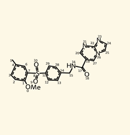 COc1ccc(C)cc1S(=O)(=O)c1ccc(CNC(=O)c2cnc3nccn3c2)cc1